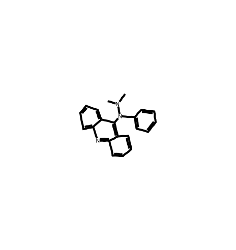 CN(C)N(c1ccccc1)c1c2ccccc2nc2ccccc12